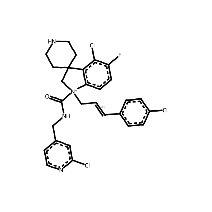 O=C(NCc1ccnc(Cl)c1)[N+]1(C/C=C/c2ccc(Cl)cc2)CC2(CCNCC2)c2c1ccc(F)c2Cl